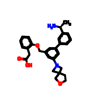 C[C@@H](N)c1cccc(-c2cc(COc3ccccc3CC(=O)O)cc(N3CC4(CCOC4)C3)c2)c1